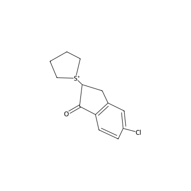 O=C1c2ccc(Cl)cc2CC1[S+]1CCCC1